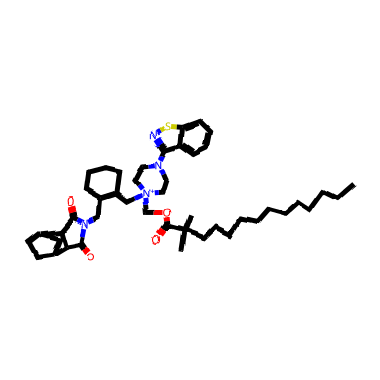 CCCCCCCCCCCCC(C)(C)C(=O)OC[N+]1(CC2CCCCC2CN2C(=O)C3C4CCC(C4)C3C2=O)CCN(c2nsc3ccccc23)CC1